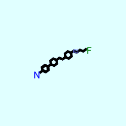 N#Cc1ccc(C2CCC(CCC3CCC(/C=C/CCCF)CC3)CC2)cc1